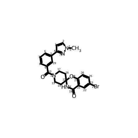 Cn1ccc(-c2cccc(C(=O)N3CCC4(CC3)NC(=O)c3cc(Br)ccc3O4)c2)n1